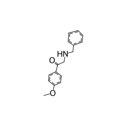 COc1ccc(C(=O)CNCc2ccccc2)cc1